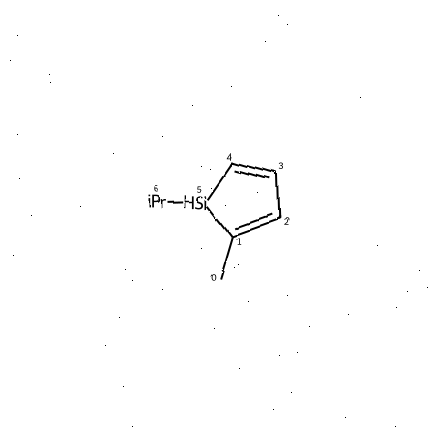 CC1=CC=C[SiH]1C(C)C